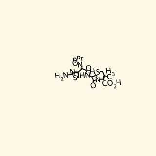 CCCO/N=C(/C(=O)NC1C(=O)N2C(C(=O)O)=C(C)CS[C@H]12)c1csc(N)n1